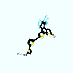 CCCCCCc1ccc(-c2ccc(C3=CC4=C5C(=C6C=C(Br)SC6(C)C4(C)S3)C(F)(F)C(F)(F)C5(F)F)s2)s1